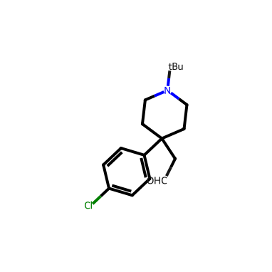 CC(C)(C)N1CCC(CC=O)(c2ccc(Cl)cc2)CC1